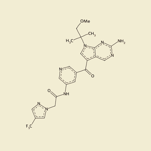 COCC(C)(C)n1cc(C(=O)c2cncc(NC(=O)Cn3cc(C(F)(F)F)cn3)c2)c2cnc(N)nc21